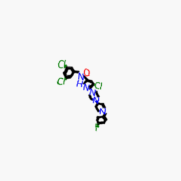 O=C(NCc1cc(Cl)cc(Cl)c1)c1cnc(N2CCN(C3CCN(Cc4ccc(F)cc4)CC3)CC2)c(Cl)c1